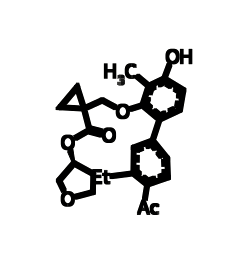 CCc1cc(-c2ccc(O)c(C)c2OCC2(C(=O)O[C@H]3CCOC3)CC2)ccc1C(C)=O